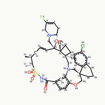 CO[C@@]1(CN2CCC=C(F)C2)/C=C/C[C@H](C)[C@@H](C)S(=O)(=O)NC(=O)c2ccc3c(c2)N(C[C@@H]2CC[C@H]21)C[C@@]1(CCCc2cc(Cl)ccc21)CO3